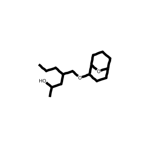 CCCC(COC1CCC2CCCC1O2)CC(C)O